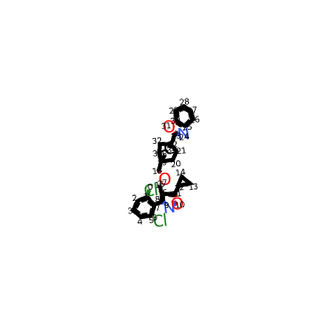 Clc1cccc(Cl)c1-c1noc(C2CC2)c1COCC12CCC(c3nc4ccccc4o3)(CC1)CC2